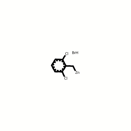 Br.Clc1cccc(Cl)c1[CH2][Zn]